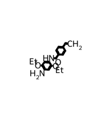 C=Cc1ccc(C(=O)Nc2cc(OCC)c(N)cc2OCC)cc1